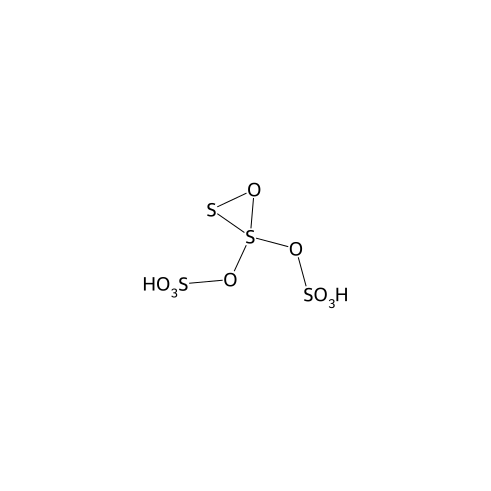 O=S(=O)(O)OS1(OS(=O)(=O)O)OS1